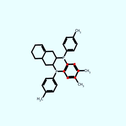 Cc1ccc(P(c2ccc(C)cc2)C2CC3=CCCCC3CC2P(c2ccc(C)cc2)c2ccc(C)cc2)cc1